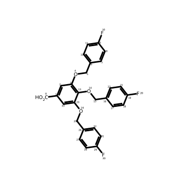 O=C(O)c1cc(OCc2ccc(F)cc2)c(OCc2ccc(F)cc2)c(OCc2ccc(F)cc2)c1